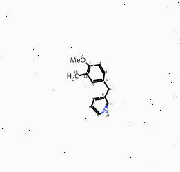 COc1ccc(Cc2cccnc2)cc1C